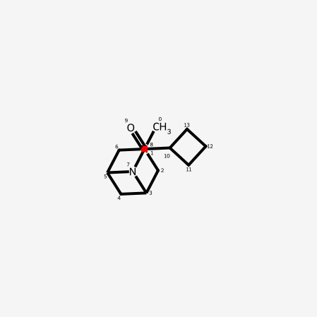 CN1CC2CC(C1)N2C(=O)C1CCC1